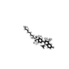 CCOC(=O)c1c(-c2cc(C)c(S(=O)(=O)NCCCCCCN)c(C)c2)n(C2CC2)c2ccc(F)cc2c1=O